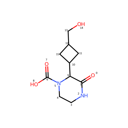 O=C1NCCN(C(=O)O)C1C1CC(CO)C1